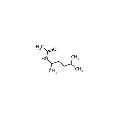 CC(=O)NC(C)CCC(C)C